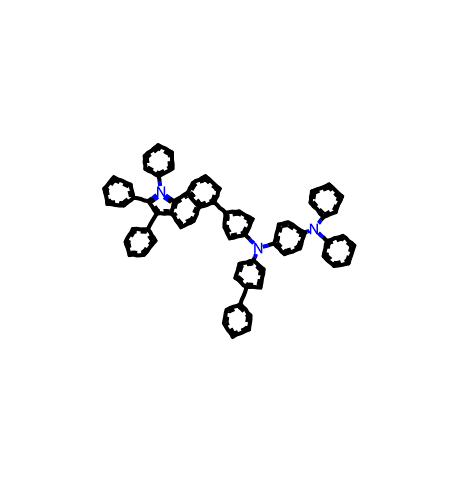 c1ccc(-c2ccc(N(c3ccc(-c4cccc5c4ccc4c(-c6ccccc6)c(-c6ccccc6)n(-c6ccccc6)c45)cc3)c3ccc(N(c4ccccc4)c4ccccc4)cc3)cc2)cc1